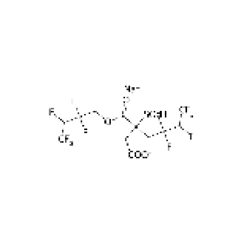 O=C([O-])CC(CC(F)(F)C(F)C(F)(F)F)(C(=O)OCC(F)(F)C(F)C(F)(F)F)S(=O)(=O)O.[Na+]